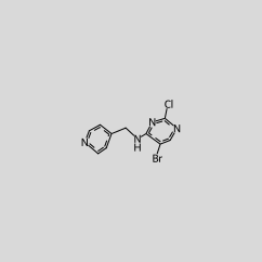 Clc1ncc(Br)c(NCc2ccncc2)n1